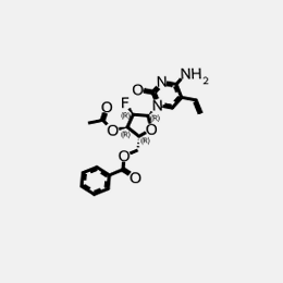 C=Cc1cn([C@@H]2O[C@H](COC(=O)c3ccccc3)[C@@H](OC(C)=O)[C@H]2F)c(=O)nc1N